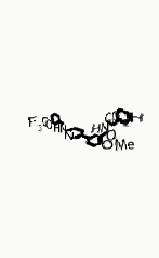 COc1ccc(-c2ccc(NCc3cccc(OC(F)(F)F)c3)nc2)cc1C(=O)N[C@@H](Cc1ccccc1)C(=O)O